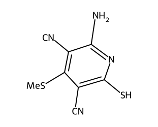 [C-]#[N+]c1c(N)nc(S)c(C#N)c1SC